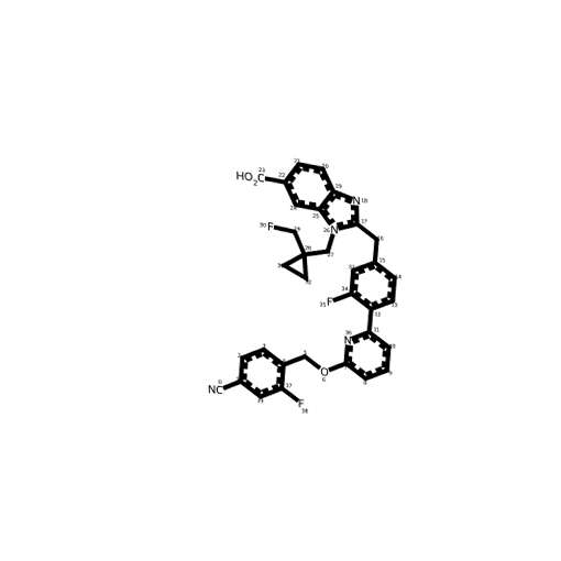 N#Cc1ccc(COc2cccc(-c3ccc(Cc4nc5ccc(C(=O)O)cc5n4CC4(CF)CC4)cc3F)n2)c(F)c1